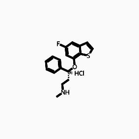 CNCC[C@@H](Oc1cc(F)cc2ccsc12)c1ccccc1.Cl